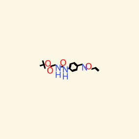 C=CCON=Cc1ccc(NC(=O)NCC(=O)OC(C)(C)C)cc1